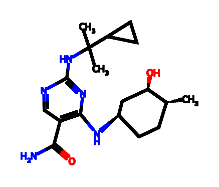 C[C@@H]1CC[C@@H](Nc2nc(NC(C)(C)C3CC3)ncc2C(N)=O)C[C@H]1O